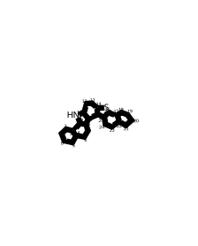 c1ccc2c(c1)ccc1c2[nH]c2ccc3sc4c5ccccc5ccc4c3c21